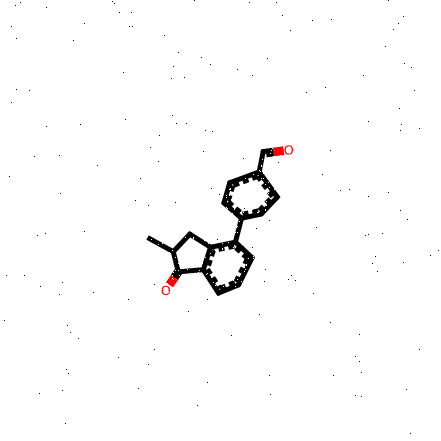 CC1Cc2c(cccc2-c2ccc(C=O)cc2)C1=O